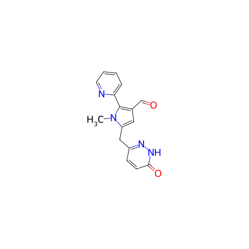 Cn1c(Cc2ccc(=O)[nH]n2)cc(C=O)c1-c1ccccn1